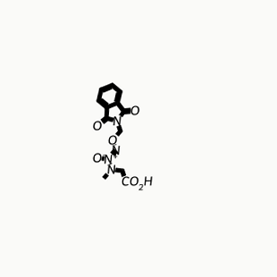 CN(CC(=O)O)/[N+]([O-])=N/OCN1C(=O)c2ccccc2C1=O